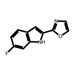 Fc1ccc2cc(-c3ncco3)[nH]c2c1